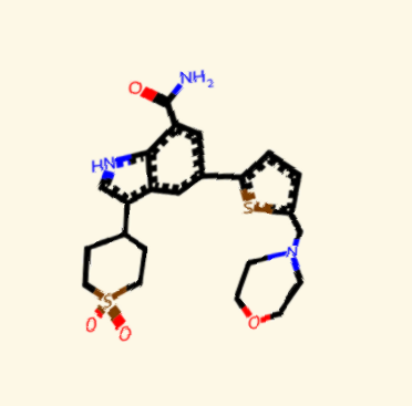 NC(=O)c1cc(-c2ccc(CN3CCOCC3)s2)cc2c(C3CCS(=O)(=O)CC3)c[nH]c12